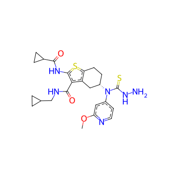 COc1cc(N(C(=S)NN)[C@H]2CCc3sc(NC(=O)C4CC4)c(C(=O)NCC4CC4)c3C2)ccn1